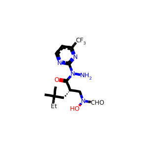 CCC(C)(C)C[C@@H](CN(O)C=O)C(=O)N(N)c1nccc(C(F)(F)F)n1